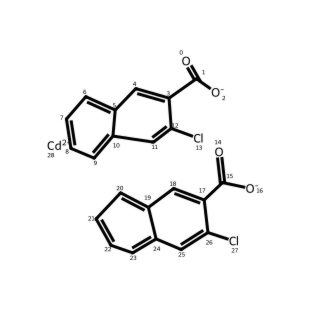 O=C([O-])c1cc2ccccc2cc1Cl.O=C([O-])c1cc2ccccc2cc1Cl.[Cd+2]